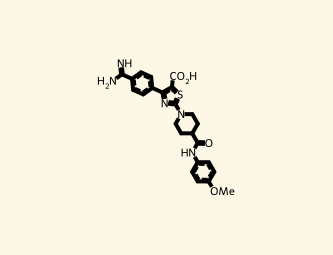 COc1ccc(NC(=O)C2CCN(c3nc(-c4ccc(C(=N)N)cc4)c(C(=O)O)s3)CC2)cc1